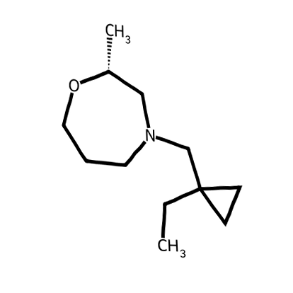 CCC1(CN2CCCO[C@H](C)C2)CC1